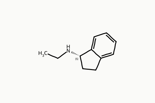 CCN[C@H]1CCc2ccccc21